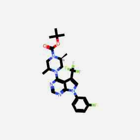 CC1CN(C(=O)OC(C)(C)C)[C@@H](C)CN1c1ncnc2c1c(C(F)(F)F)cn2-c1cccc(F)c1